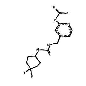 O=C(NCc1ccnc(OC(F)F)c1)NC1CCC(F)(F)CC1